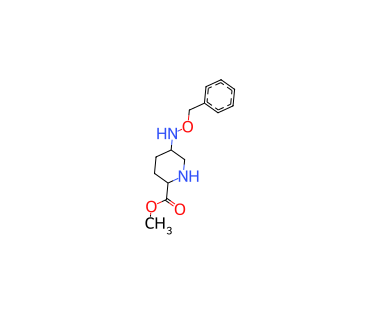 COC(=O)C1CCC(NOCc2ccccc2)CN1